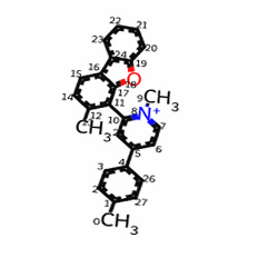 Cc1ccc(-c2cc[n+](C)c(-c3c(C)ccc4c3oc3ccccc34)c2)cc1